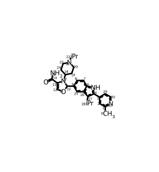 Cc1cc(-c2[nH]c3ccc(C4OC=C(C(N)=O)N4C4CCN(C(C)C)CC4)cc3c2C(C)C)ccn1